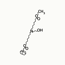 CCCOC(=O)CCCCCCCN(CCCO)CCCCCCCCOC(=O)CC12CC3CC(CC(C3)C1)C2